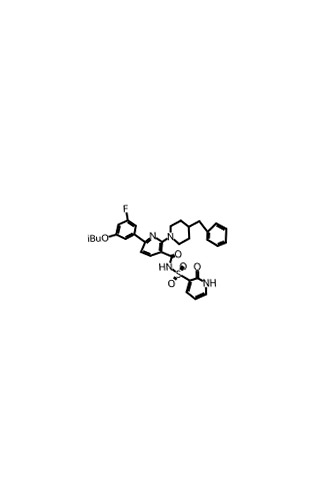 CC(C)COc1cc(F)cc(-c2ccc(C(=O)NS(=O)(=O)c3ccc[nH]c3=O)c(N3CCC(Cc4ccccc4)CC3)n2)c1